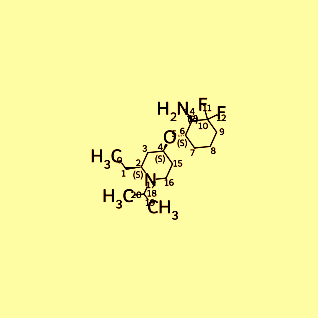 CC[C@H]1C[C@@H](O[C@H]2CCCC(F)(F)[C@@H]2N)CCN1C(C)C